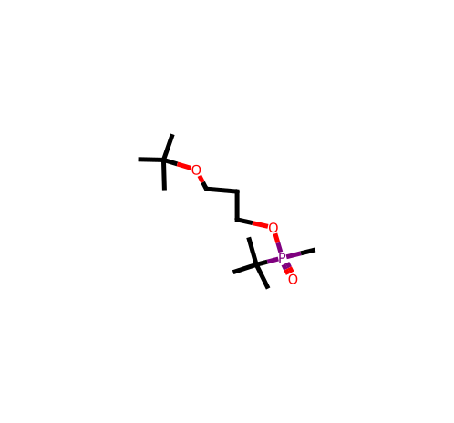 CC(C)(C)OCCCOP(C)(=O)C(C)(C)C